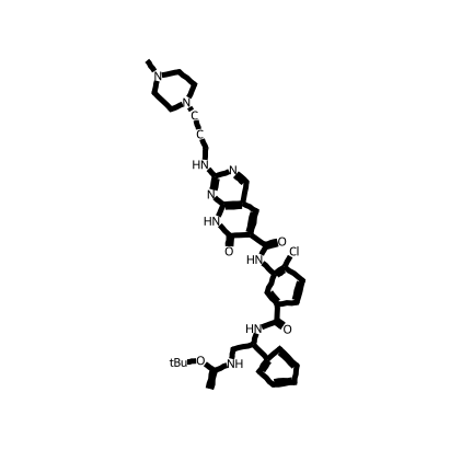 C=C(NCC(NC(=O)c1ccc(Cl)c(NC(=O)c2cc3cnc(NCCCN4CCN(C)CC4)nc3[nH]c2=O)c1)c1ccccc1)OC(C)(C)C